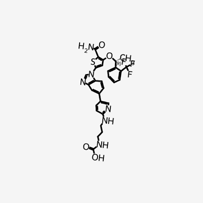 C[C@@H](Oc1cc(-n2cnc3cc(-c4ccc(NCCCNC(=O)O)nc4)ccc32)sc1C(N)=O)c1ccccc1C(F)(F)F